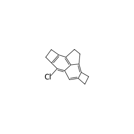 Clc1c2c(c3c4c(c5c(cc14)CC5)CC3)CC2